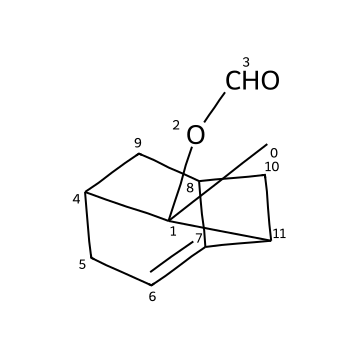 CC1(OC=O)C2CC=C3C(C2)CC31